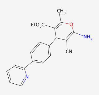 CCOC(=O)C1=C(C)OC(N)=C(C#N)C1c1ccc(-c2ccccn2)cc1